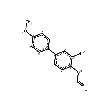 COc1ccc(-c2ccc(OC=O)c(F)c2)cc1